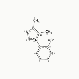 Cc1nnn(-c2cccnc2Br)c1C